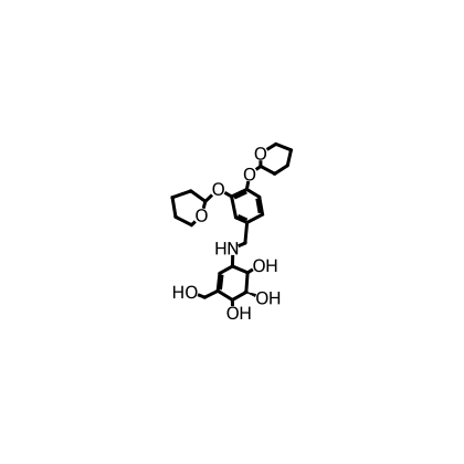 OCC1=CC(NCc2ccc(OC3CCCCO3)c(OC3CCCCO3)c2)C(O)[C@@H](O)C1O